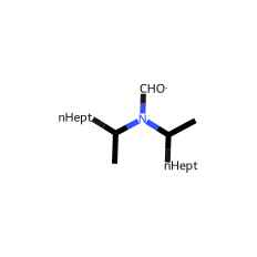 CCCCCCCC(C)N([C]=O)C(C)CCCCCCC